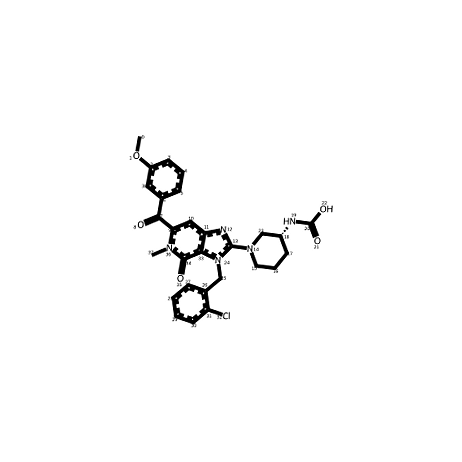 COc1cccc(C(=O)c2cc3nc(N4CCC[C@@H](NC(=O)O)C4)n(Cc4ccccc4Cl)c3c(=O)n2C)c1